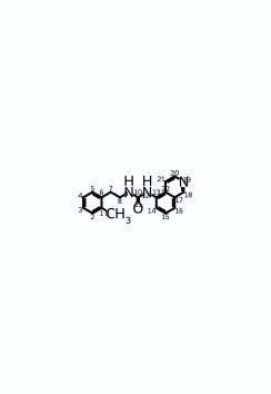 Cc1ccccc1CCNC(=O)Nc1cccc2cnccc12